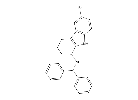 Brc1ccc2[nH]c3c(c2c1)CCCC3NC(c1ccccc1)c1ccccc1